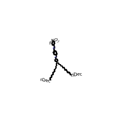 CCCCCCCCCCCCCCCCCCCCCCN(CCCCCCCCCCCCCCCCCCCCCC)c1ccc(/C=C/c2ccc(/C=C/c3ccc([N+](=O)[O-])c(F)c3)cc2)cc1